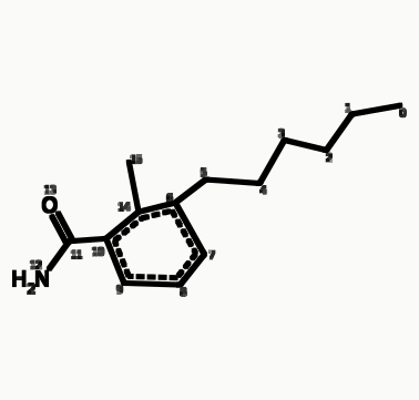 CCCCCCc1cccc(C(N)=O)c1C